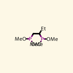 CCC(CP(OC)OC)P(OC)OC